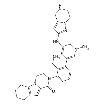 CCc1c(C2=CN(C)CC(Nc3cc4n(n3)CCNC4)=C2)cccc1N1CCn2c(cc3c2CCCC3)C1=O